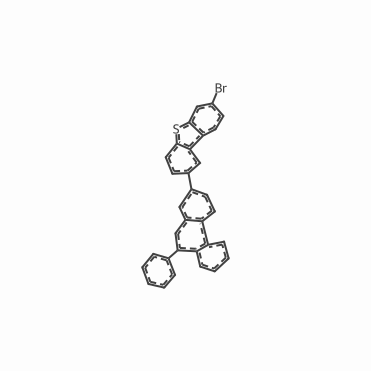 Brc1ccc2c(c1)sc1ccc(-c3ccc4c(c3)cc(-c3ccccc3)c3ccccc34)cc12